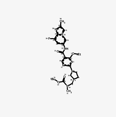 CCOc1nc(N2CC[C@@H](CN(C)C(=O)OC(C)(C)C)C2)ncc1C(=O)Nc1cc(F)c2nc(C)cn2c1